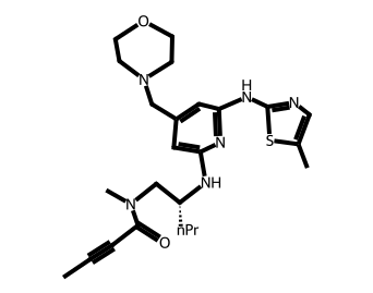 CC#CC(=O)N(C)C[C@@H](CCC)Nc1cc(CN2CCOCC2)cc(Nc2ncc(C)s2)n1